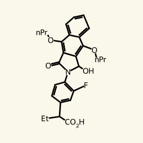 CCCOc1c2c(c(OCCC)c3ccccc13)C(O)N(c1ccc(C(CC)C(=O)O)cc1F)C2=O